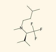 CC(C)CCN(C)[C@H](C(C)C)C(F)(F)F